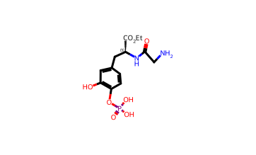 CCOC(=O)[C@H](Cc1ccc(OP(=O)(O)O)c(O)c1)NC(=O)CN